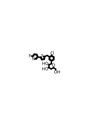 OCC1CC(O)[C@@H](O)C(c2ccc(Cl)c(Cc3ccc(-c4ccc(F)nc4)s3)c2)O1